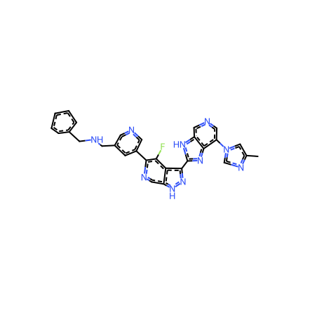 Cc1cn(-c2cncc3[nH]c(-c4n[nH]c5cnc(-c6cncc(CNCc7ccccc7)c6)c(F)c45)nc23)cn1